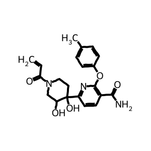 C=CC(=O)N1CCC(O)(c2ccc(C(N)=O)c(Oc3ccc(C)cc3)n2)C(O)C1